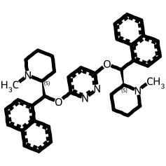 CN1CCCC[C@H]1C(Oc1ccc(OC(c2cccc3ccccc23)[C@@H]2CCCCN2C)nn1)c1cccc2ccccc12